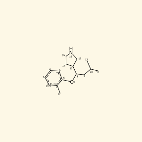 Cc1ncccc1OC(CC(C)C)C1CCNC1